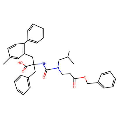 Cc1ccc(-c2ccccc2)c(CC(Cc2ccccc2)(NC(=O)N(CCC(=O)OCc2ccccc2)CC(C)C)C(=O)O)c1